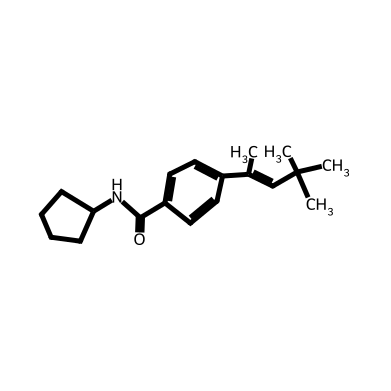 C/C(=C\C(C)(C)C)c1ccc(C(=O)NC2CCCC2)cc1